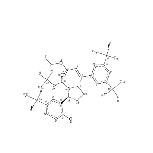 CCOC(=O)/C=C(/c1cc(C(F)(F)F)cc(C(F)(F)F)c1)[C@@H]1CC[C@@H](c2cc(C(F)(F)F)ccc2Cl)N1C(=O)OC(C)(C)C